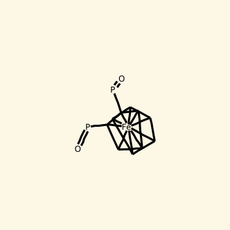 O=P[C]12[CH]3[CH]4[CH]5[C]1(P=O)[Fe]43521678[CH]2[CH]1[CH]6[CH]7[CH]28